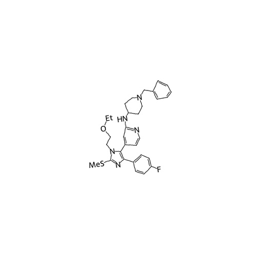 CCOCCn1c(SC)nc(-c2ccc(F)cc2)c1-c1ccnc(NC2CCN(Cc3ccccc3)CC2)c1